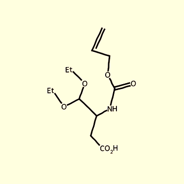 C=CCOC(=O)NC(CC(=O)O)C(OCC)OCC